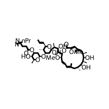 C/C=C/[C@H]1O[C@@](O)([C@@H](C)[C@H](O)[C@H](C)[C@H]2OC(=O)/C(OC)=C/C(C)=C/[C@@H](C)[C@@H](O)[C@@H](C)[C@@H](O)[C@H](C)C/C(C)=C/C=C/[C@@H]2OC)C[C@@H](O[C@@H]2C[C@H](OC(=O)CCC3(CCC)N=N3)[C@@H](O)[C@H](C)O2)[C@@H]1C